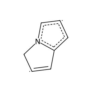 [C]1=Cc2c[c]cn2C1